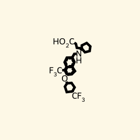 O=C(O)CCC1(NCc2ccc3c(C(F)(F)F)c(OC4CCC(C(F)(F)F)CC4)ccc3c2)CCCCC1